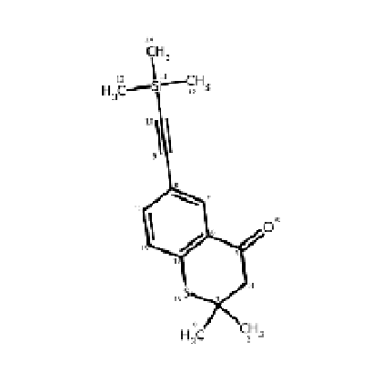 CC1(C)CC(=O)c2cc(C#C[Si](C)(C)C)ccc2S1